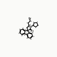 O=C(NC1CCCC1)C1(CCCCBr)c2ccccc2-c2ccccc21